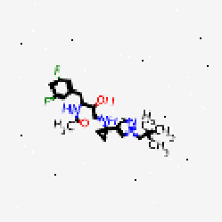 CC(=O)NC(Cc1cc(F)cc(F)c1)C(O)CNC1(c2cnn(CC(C)(C)C)c2)CC1